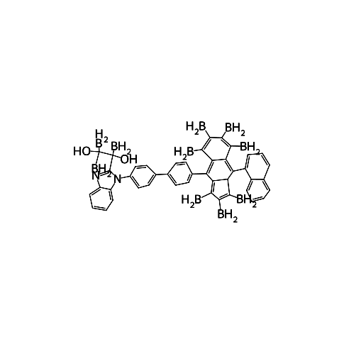 BC1=C(B)C2C(=C1B)C(c1ccc(-c3ccc(-n4c(C(B)(O)C(B)(B)O)nc5ccccc54)cc3)cc1)=c1c(B)c(B)c(B)c(B)c1=C2c1cccc2ccccc12